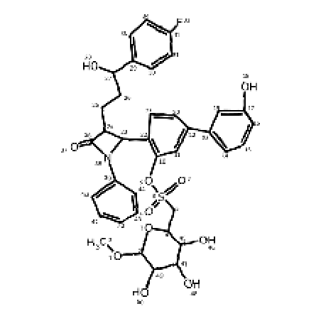 COC1OC(CS(=O)(=O)Oc2cc(-c3cccc(O)c3)ccc2C2C(CCC(O)c3ccc(F)cc3)C(=O)N2c2ccccc2)C(O)C(O)C1O